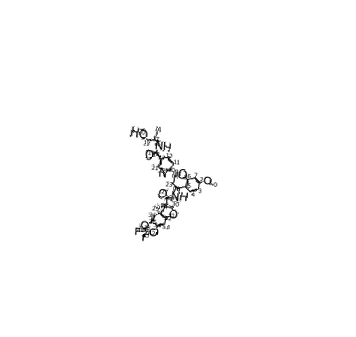 COc1ccc2c(c1)O[C@@H](c1ccc(C(=O)NC(C)CO)cn1)C[C@H]2NC(=O)[C@@]1(C)COc2cc3c(cc21)OC(F)(F)O3